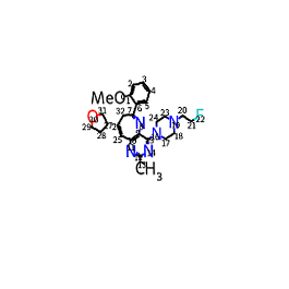 COc1ccccc1C1=Nc2c(nc(C)nc2N2CCN(CCF)CC2)C=C([C@@H]2CCOC2)C1